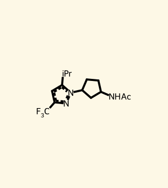 CC(=O)NC1CCC(n2nc(C(F)(F)F)cc2C(C)C)C1